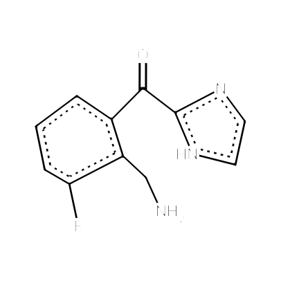 NCc1c(F)cccc1C(=O)c1ncc[nH]1